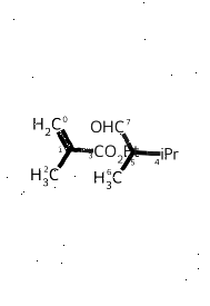 C=C(C)C(=O)OCC.CC(C)C(C)C=O